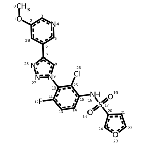 COc1cncc(-c2cn(-c3c(F)ccc(NS(=O)(=O)c4ccoc4)c3Cl)nn2)c1